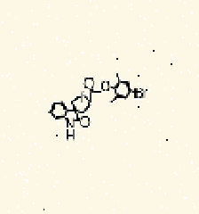 Cc1cc(Br)cc(C)c1OCC(=O)N1CCC2(CC1)C(=O)Nc1ccccc12